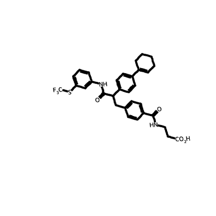 O=C(O)CCNC(=O)c1ccc(CC(C(=O)Nc2cccc(SC(F)(F)F)c2)c2ccc(C3=CCCCC3)cc2)cc1